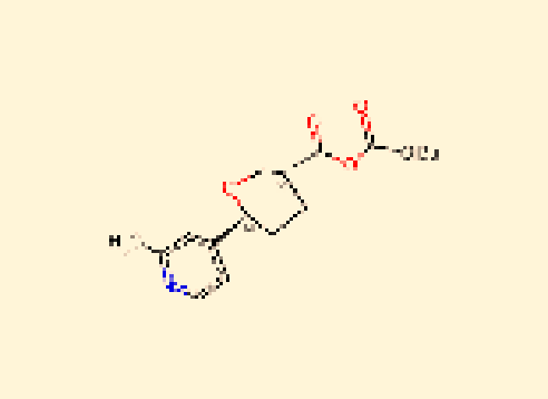 Cc1cc([C@@H]2CC[C@@H](C(=O)OC(=O)OCC(C)C)CO2)ccn1